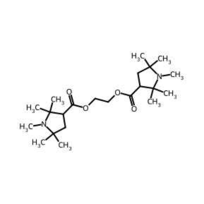 CN1C(C)(C)CC(C(=O)OCCOC(=O)C2CC(C)(C)N(C)C2(C)C)C1(C)C